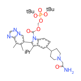 Cc1c(-c2c(C(C)C)c3cc(C4CCN(CC(N)=O)CC4)ccc3n2C(=O)OCOP(=O)(OC(C)(C)C)OC(C)(C)C)cn2ncnc2c1C